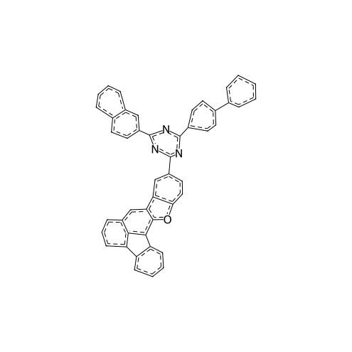 c1ccc(-c2ccc(-c3nc(-c4ccc5ccccc5c4)nc(-c4ccc5oc6c7c8c(cccc8cc6c5c4)-c4ccccc4-7)n3)cc2)cc1